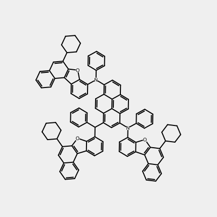 c1ccc(C(c2cc(N(c3ccccc3)c3cccc4c3oc3c(C5CCCCC5)cc5ccccc5c34)c3ccc4ccc(N(c5ccccc5)c5cccc6c5oc5c(C7CCCCC7)cc7ccccc7c56)c5ccc2c3c45)c2cccc3c2oc2c(C4CCCCC4)cc4ccccc4c23)cc1